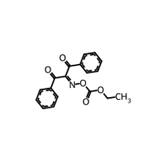 CCOC(=O)ON=C(C(=O)c1ccccc1)C(=O)c1ccccc1